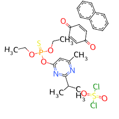 CCOP(=S)(OCC)Oc1cc(C)nc(C(C)C)n1.O=C1C=CC(=O)C=C1.O=S(=O)(Cl)Cl.c1ccc2ccccc2c1